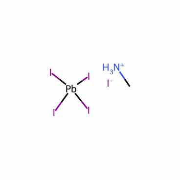 C[NH3+].[I-].[I][Pb]([I])([I])[I]